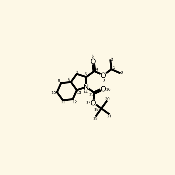 CC(C)OC(=O)C1CC2CCCCC2N1C(=O)OC(C)(C)C